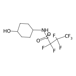 O=S(=O)(NC1CCC(O)CC1)C(F)(F)C(F)(F)C(F)(F)F